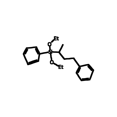 CCO[Si](OCC)(c1ccccc1)C(C)CCc1ccccc1